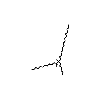 CCCCCCCCCCCCCCCCC(C)(CCCCCC)C(=O)OCCCCCCCCCC